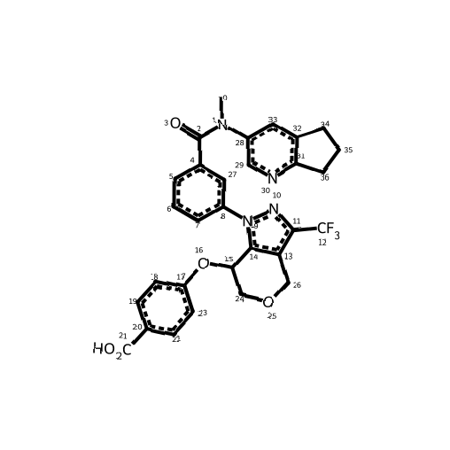 CN(C(=O)c1cccc(-n2nc(C(F)(F)F)c3c2C(Oc2ccc(C(=O)O)cc2)COC3)c1)c1cnc2c(c1)CCC2